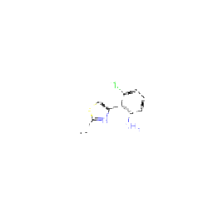 Cc1nc(-c2c(N)cccc2Cl)cs1